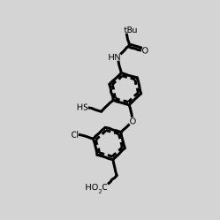 CC(C)(C)C(=O)Nc1ccc(Oc2cc(Cl)cc(CC(=O)O)c2)c(CS)c1